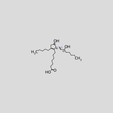 CCCCCC1=C(CCCCCCC(=O)O)[C@@H](/C=C/[C@@H](O)CCCCC)[C@H](O)C1